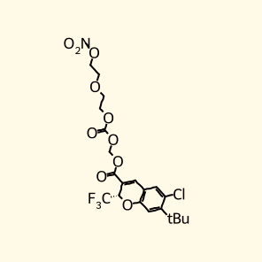 CC(C)(C)c1cc2c(cc1Cl)C=C(C(=O)OCOC(=O)OCCOCCO[N+](=O)[O-])[C@@H](C(F)(F)F)O2